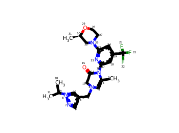 CC1=CN(Cc2cnn(C(C)C)c2)CC(=O)N1c1cc(C(F)(F)F)cc(N2CCO[C@H](C)C2)n1